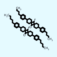 CCCCCc1ccc(C2CCC3(CC2)C(=O)C2(CCC(c4ccc(CCCCC)cc4)CC2)C3F)cc1.CCCCc1ccc(C2CCC3(CC2)C(=O)C2(CCC(c4ccc(CCCC)cc4)CC2)C3F)cc1